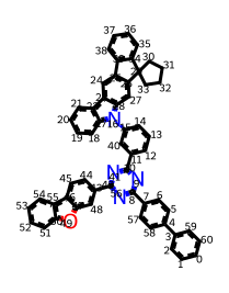 c1ccc(-c2ccc(-c3nc(-c4cccc(-n5c6ccccc6c6cc7c(cc65)C5(CCCC5)c5ccccc5-7)c4)nc(-c4ccc5c(c4)oc4ccccc45)n3)cc2)cc1